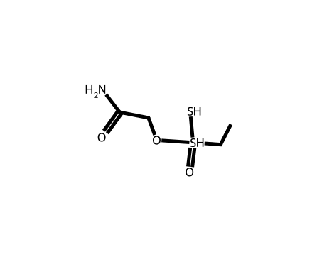 CC[SH](=O)(S)OCC(N)=O